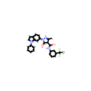 CCC(F)(F)c1cccc(NC(=O)C2C(=O)N(c3ccc4ccn(-c5ccccc5)c4c3)N=C2C)c1